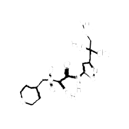 C=C(C(=O)Nc1cc(C(C)(C)COC)no1)S(=O)(=O)CC1CCOCC1